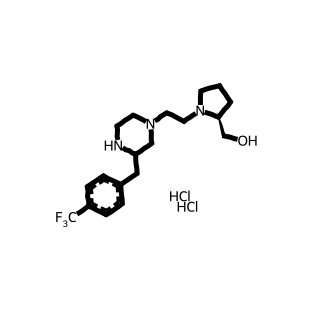 Cl.Cl.OC[C@@H]1CCCN1CCN1CCNC(Cc2ccc(C(F)(F)F)cc2)C1